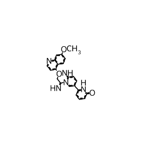 COc1ccc2c(OCC(=N)n3cc(-c4cccc(=O)[nH]4)ccc3=N)ccnc2c1